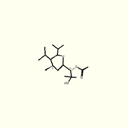 CC(=O)O[C@@H](C1C[C@@H](C)C(C(C)C)C(C(C)C)O1)C(C)(C)O